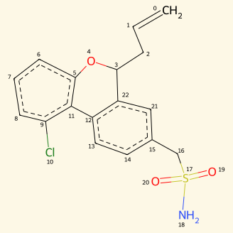 C=CCC1Oc2cccc(Cl)c2-c2ccc(CS(N)(=O)=O)cc21